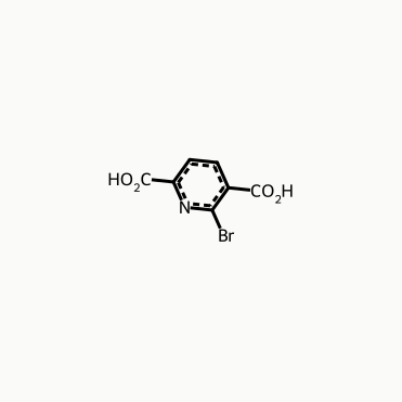 O=C(O)c1ccc(C(=O)O)c(Br)n1